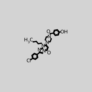 CCCCCn1c(N2CCN(C(=O)c3ccc(O)cc3)CC2)cc(=O)n2cc(-c3ccc(Cl)cc3)nc12